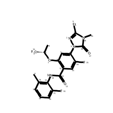 CCc1nn(-c2cc(O[C@@H](C)C(F)(F)F)c(C(=O)Nc3c(C)cccc3F)cc2F)c(=O)n1C